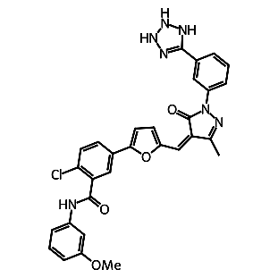 COc1cccc(NC(=O)c2cc(-c3ccc(/C=C4\C(=O)N(c5cccc(C6=NNNN6)c5)N=C4C)o3)ccc2Cl)c1